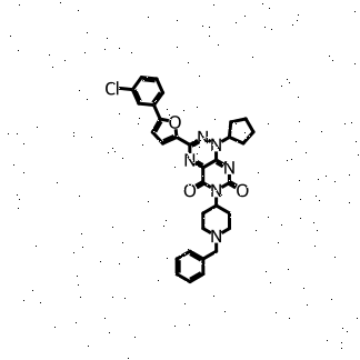 O=c1nc2n(C3CCCC3)nc(-c3ccc(-c4cccc(Cl)c4)o3)nc-2c(=O)n1C1CCN(Cc2ccccc2)CC1